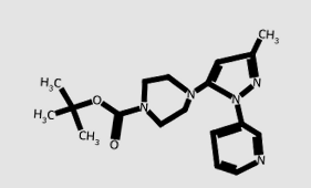 Cc1cc(N2CCN(C(=O)OC(C)(C)C)CC2)n(-c2cccnc2)n1